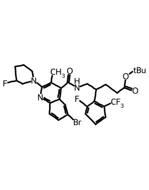 Cc1c(N2CCCC(F)C2)nc2ccc(Br)cc2c1C(=O)NCC(CCC(=O)OC(C)(C)C)c1c(F)cccc1C(F)(F)F